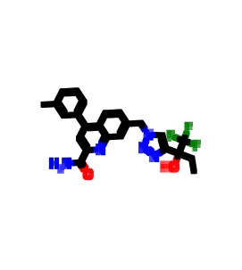 CCC(O)(c1cn(Cc2ccc3c(-c4cccc(C)c4)cc(C(N)=O)nc3c2)nn1)C(F)(F)F